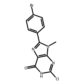 Cn1c(-c2ccc(Br)cc2)nc2c(=O)[nH]c(Cl)nc21